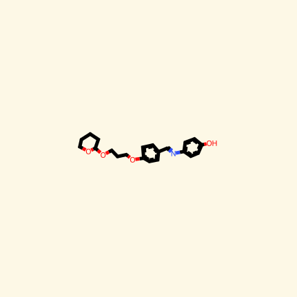 Oc1ccc(/N=C/c2ccc(OCCCOC3CCCCO3)cc2)cc1